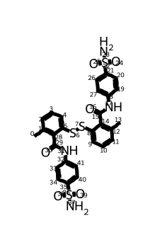 Cc1cccc(SSc2cccc(C)c2C(=O)Nc2ccc(S(N)(=O)=O)cc2)c1C(=O)Nc1ccc(S(N)(=O)=O)cc1